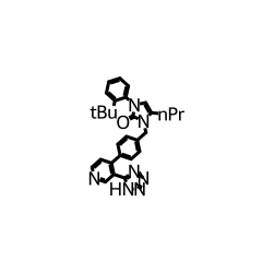 CCCc1cn(-c2ccccc2C(C)(C)C)c(=O)n1Cc1ccc(-c2ccncc2-c2nnn[nH]2)cc1